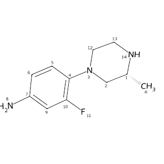 C[C@@H]1CN(c2ccc(N)cc2F)CCN1